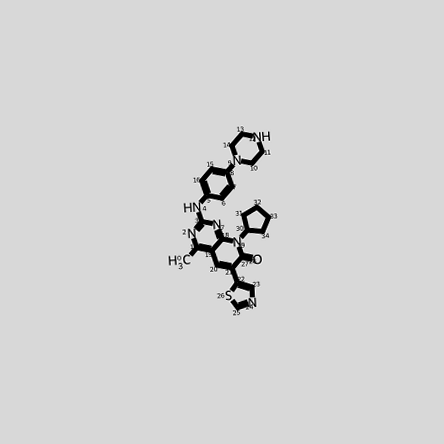 Cc1nc(Nc2ccc(N3CCNCC3)cc2)nc2c1cc(-c1cncs1)c(=O)n2C1CCCC1